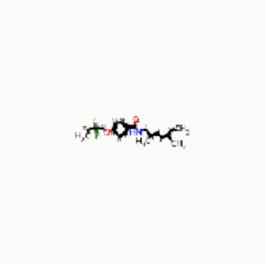 C=C/C(C)=C\C=C(/C)CNC(=O)c1ccc(OCC(F)(F)C=C)cc1